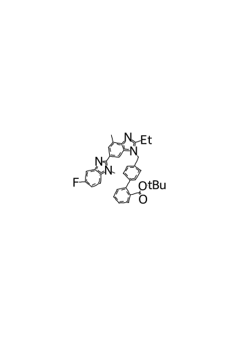 CCc1nc2c(C)cc(-c3nc4cc(F)ccc4n3C)cc2n1Cc1ccc(-c2ccccc2C(=O)OC(C)(C)C)cc1